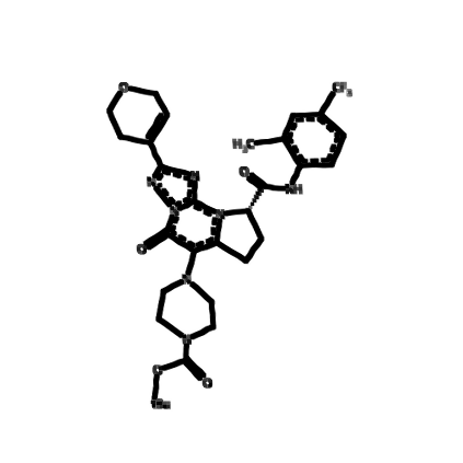 Cc1cc(C(F)(F)F)ccc1NC(=O)[C@@H]1CCc2c(N3CCN(C(=O)OC(C)(C)C)CC3)c(=O)n3nc(C4=CCOCC4)nc3n21